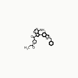 CCC(=O)N1CCC(C(=O)c2cc(-c3ccc4cn(Cc5ccccc5)nc4c3)c3c(N)ncnn23)C1